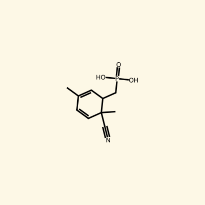 CC1=CC(CP(=O)(O)O)C(C)(C#N)C=C1